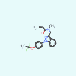 C=CC(=O)N(C)Cc1nn(-c2ccc(OC(C)(F)F)cc2)c2ccccc12